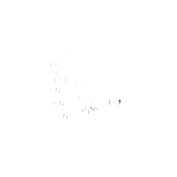 Cl.Cl.Cl.Cl.Cl.NCC(=O)[O-].NCC(=O)[O-].NCC(=O)[O-].NCC(=O)[O-].[Zr+4]